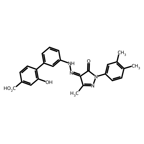 CC1=NN(c2ccc(C)c(C)c2)C(=O)C1=NNc1cccc(-c2ccc(C(=O)O)cc2O)c1